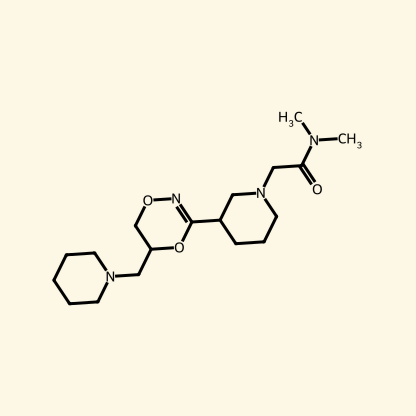 CN(C)C(=O)CN1CCCC(C2=NOCC(CN3CCCCC3)O2)C1